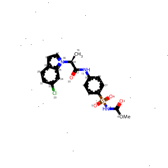 COC(=O)NS(=O)(=O)c1ccc(NC(=O)[C@H](C)n2ccc3ccc(Cl)cc32)cc1